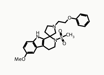 COc1ccc2[nH]c3c(c2c1)CCN(S(C)(=O)=O)C31CCN(CCOc2ccccc2)C1